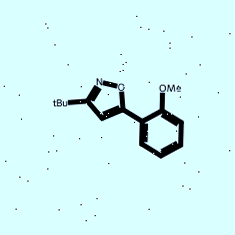 COc1ccccc1-c1cc(C(C)(C)C)no1